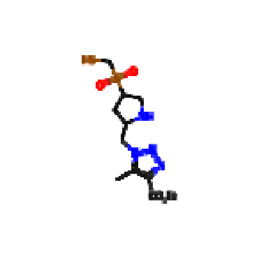 CCOC(=O)c1nnn(CC2CC(S(=O)(=O)CS)CN2)c1C